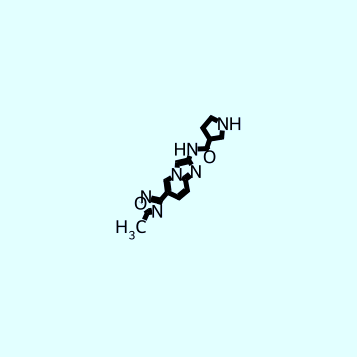 Cc1nc(-c2ccc3nc(NC(=O)C4CCNC4)cn3c2)no1